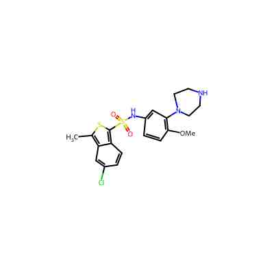 COc1ccc(NS(=O)(=O)c2sc(C)c3cc(Cl)ccc23)cc1N1CCNCC1